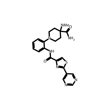 CNC1(C(N)=O)CCN(c2ccccc2NC(=O)c2csc(-c3cncnc3)n2)CC1